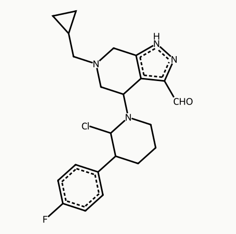 O=Cc1n[nH]c2c1C(N1CCCC(c3ccc(F)cc3)C1Cl)CN(CC1CC1)C2